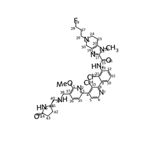 COc1nc(-c2ccnc(-c3cccc(NC(=O)c4nc5c(n4C)CCN(CCCF)C5)c3Cl)c2Cl)ccc1CNC[C@H]1CCC(=O)N1